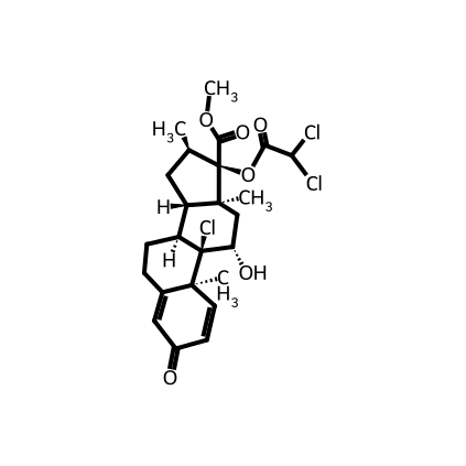 COC(=O)[C@@]1(OC(=O)C(Cl)Cl)[C@H](C)C[C@H]2[C@@H]3CCC4=CC(=O)C=C[C@]4(C)[C@@]3(Cl)[C@@H](O)C[C@@]21C